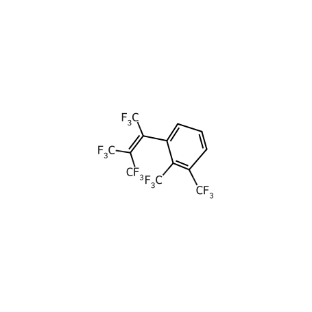 FC(F)(F)C(=C(C(F)(F)F)C(F)(F)F)c1cccc(C(F)(F)F)c1C(F)(F)F